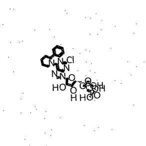 O=P(O)(O)CP(=O)(O)OC[C@H]1O[C@@H](n2cnc3c(N4CCCCC4c4ccccc4)nc(Cl)nc32)C(O)C1O